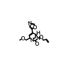 C=CCON1C(=O)N2C[C@H]1C(c1cnco1)=CC2COC